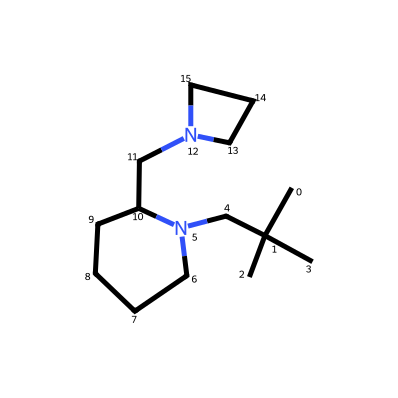 CC(C)(C)CN1CCCCC1CN1CCC1